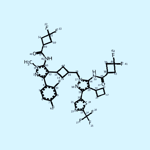 Cn1nc(-c2ccc(F)cc2F)c(C2CC(Cn3nc(-c4cnc(C(F)(F)F)s4)c(C4CCC4)c3NC(=O)C3CC(F)(F)C3)C2)c1NC(=O)C1CC(F)(F)C1